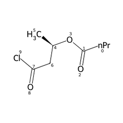 CCCC(=O)O[C@H](C)CC(=O)Cl